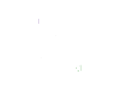 Cl/C=C\CI